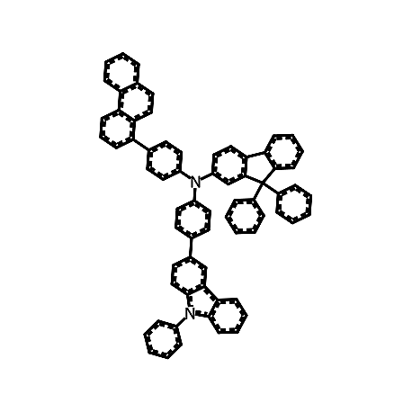 c1ccc(-n2c3ccccc3c3cc(-c4ccc(N(c5ccc(-c6cccc7c6ccc6ccccc67)cc5)c5ccc6c(c5)C(c5ccccc5)(c5ccccc5)c5ccccc5-6)cc4)ccc32)cc1